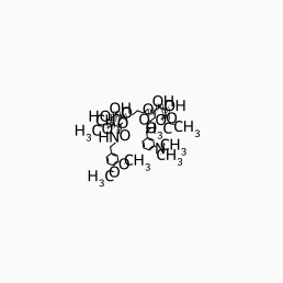 COc1ccc(CCNC(=O)C2O[C@@H](OCCCO[C@@H]3C(C(=O)OCc4cccc(N(C)C)c4)O[C@@H](OC(C)C)[C@@H](O)[C@H]3O)[C@@H](O)[C@@H](O)[C@@H]2OC(C)C)cc1OC